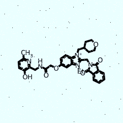 CCn1c(CN2C(=O)c3ccccc3C2=O)[n+](CC2CCOCC2)c2ccc(OCC(=O)NCc3nc(C)ccc3O)cc21